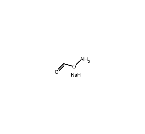 O=C[O][AlH2].[NaH]